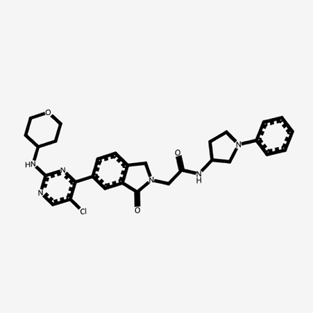 O=C(CN1Cc2ccc(-c3nc(NC4CCOCC4)ncc3Cl)cc2C1=O)NC1CCN(c2ccccc2)C1